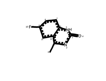 Cc1nc(=O)[nH]c2ccc(F)cc12